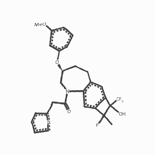 COc1cccc(O[C@H]2CCc3cc4c(cc3N(C(=O)Cc3ccccn3)C2)C(C)(F)C4(O)C(F)(F)F)c1